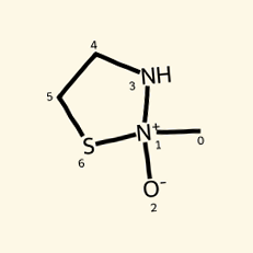 C[N+]1([O-])NCCS1